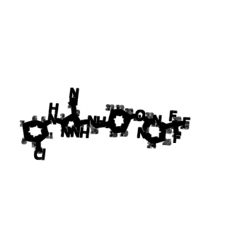 N#Cc1c(Nc2cccc(Cl)c2)n[nH]c1NCc1ccc(Oc2nccc(C(F)(F)F)n2)cc1